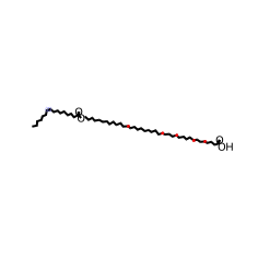 CCCCCC/C=C\CCCCCCCC(=O)OCCCCCCCCCCCCCCCCCCCCCCCCCCCCCCCCCCCCCCC(=O)O